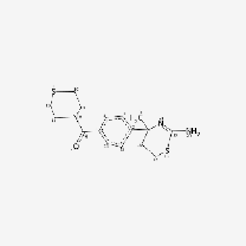 CC1(c2ccc(C(=O)N3CCSCC3)cc2)CCSC(N)=N1